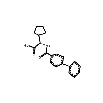 CC(C)(C)C(=O)[C@@H](NC(=O)c1ccc(-c2ccccc2)cc1)C1CCCC1